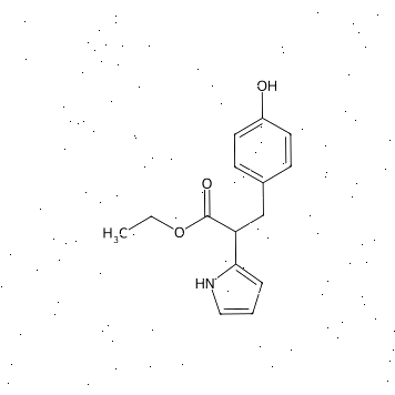 CCOC(=O)C(Cc1ccc(O)cc1)c1ccc[nH]1